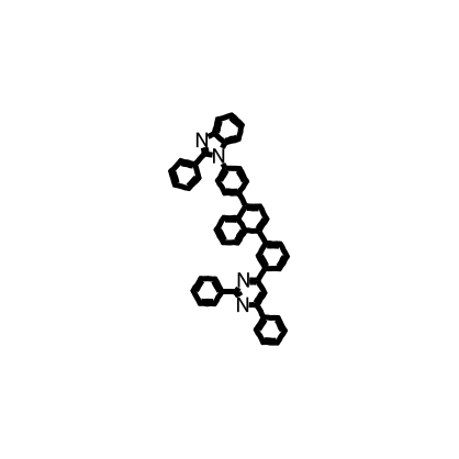 c1ccc(-c2cc(-c3cccc(-c4ccc(-c5ccc(-n6c(-c7ccccc7)nc7ccccc76)cc5)c5ccccc45)c3)nc(-c3ccccc3)n2)cc1